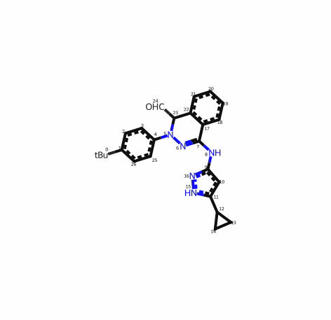 CC(C)(C)c1ccc(N2N=C(Nc3cc(C4CC4)[nH]n3)c3ccccc3C2C=O)cc1